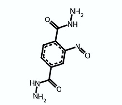 NNC(=O)c1ccc(C(=O)NN)c(N=O)c1